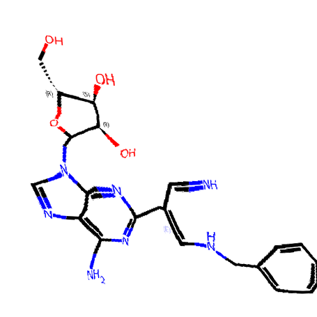 N=C/C(=C\NCc1ccccc1)c1nc(N)c2ncn(C3O[C@H](CO)[C@@H](O)[C@H]3O)c2n1